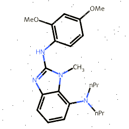 CCCN(CCC)c1cccc2nc(Nc3ccc(OC)cc3OC)n(C)c12